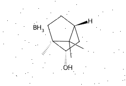 B.CC1(C)[C@@H]2CC[C@]1(C)[C@@H](O)C2